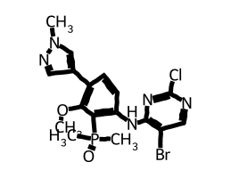 COc1c(-c2cnn(C)c2)ccc(Nc2nc(Cl)ncc2Br)c1P(C)(C)=O